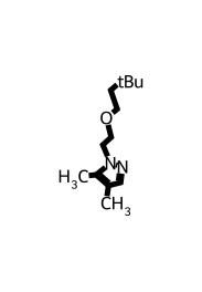 Cc1cnn(CCOCCC(C)(C)C)c1C